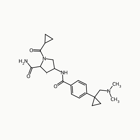 CN(C)CC1(c2ccc(C(=O)NC3[CH]C(C(N)=O)N(C(=O)C4CC4)C3)cc2)CC1